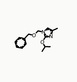 Cc1cn(COCc2ccccc2)c(OC(C)C)n1